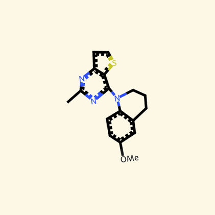 COc1ccc2c(c1)CCCN2c1nc(C)nc2ccsc12